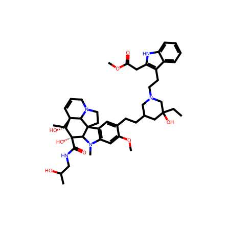 CCC1(O)CC(CCc2cc3c(cc2OC)N(C)C2C34CCN3CC=C[C@](CC)(C34)[C@@H](O)[C@]2(O)C(=O)NCC(C)O)CN(CCc2c(CC(=O)OC)[nH]c3ccccc23)C1